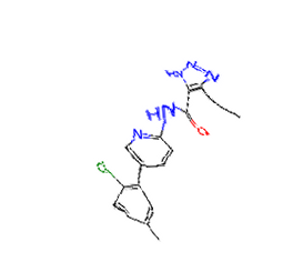 Cc1ccc(Cl)c(-c2ccc(NC(=O)c3[nH]nnc3C)nc2)c1